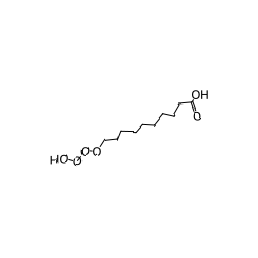 O=C(O)CCCCCCCCCOOOO